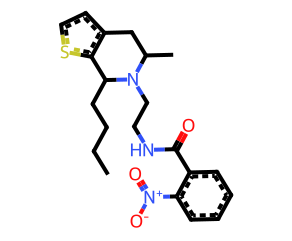 CCCCC1c2sccc2CC(C)N1CCNC(=O)c1ccccc1[N+](=O)[O-]